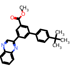 COC(=O)c1cc(-c2ccc(C(C)(C)C)cc2)cc(-c2cnc3ccccc3n2)c1